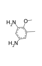 COc1c(C)cc(N)cc1N